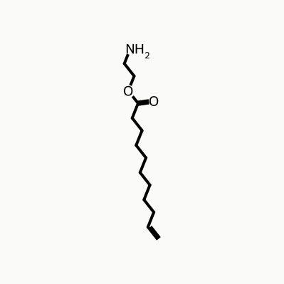 C=CCCCCCCCCC(=O)OCCN